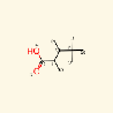 CC(C(=O)O)C(C)C(C)(C)C